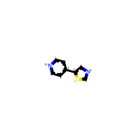 [c]1cc(-c2cncs2)ccn1